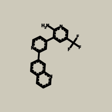 Nc1ncc(C(F)(F)F)cc1-c1ccnc(-c2ccc3cccnc3c2)c1